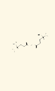 O=C(CCC(F)([N+](=O)[O-])[N+](=O)[O-])OOC(=O)CCC(F)([N+](=O)[O-])[N+](=O)[O-]